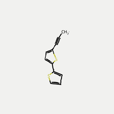 [CH2]C#Cc1ccc(-c2cccs2)s1